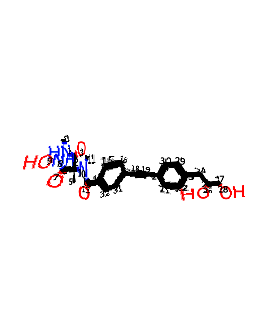 CNC(=O)[C@@](C)(C(=O)NO)N(C)C(=O)c1ccc(C#Cc2ccc(CC(O)CO)cc2)cc1